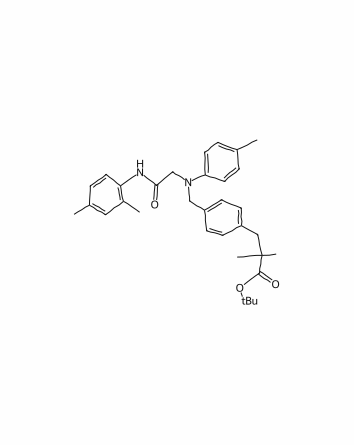 Cc1ccc(N(CC(=O)Nc2ccc(C)cc2C)Cc2ccc(CC(C)(C)C(=O)OC(C)(C)C)cc2)cc1